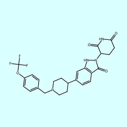 O=C1CCC(n2[nH]c3cc(C4CCN(Cc5ccc(OC(F)(F)F)cc5)CC4)ccc3c2=O)C(=O)N1